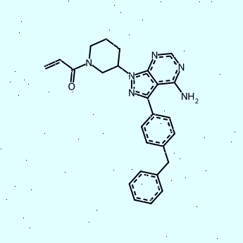 C=CC(=O)N1CCCC(n2nc(-c3ccc(Cc4ccccc4)cc3)c3c(N)ncnc32)C1